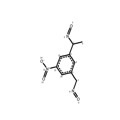 CC(N=O)c1cc(CN=O)cc([N+](=O)[O-])c1